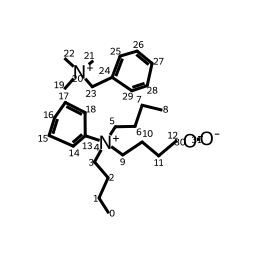 CCCC[N+](CCCC)(CCCC)c1ccccc1.C[N+](C)(C)Cc1ccccc1.[O-][O-]